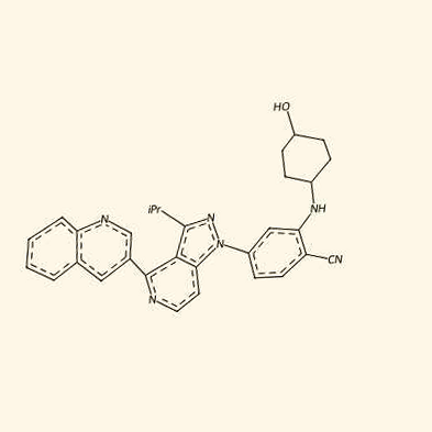 CC(C)c1nn(-c2ccc(C#N)c(NC3CCC(O)CC3)c2)c2ccnc(-c3cnc4ccccc4c3)c12